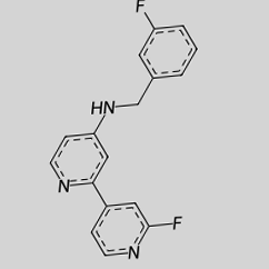 Fc1cccc(CNc2ccnc(-c3ccnc(F)c3)c2)c1